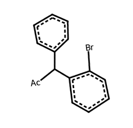 CC(=O)C(c1ccccc1)c1ccccc1Br